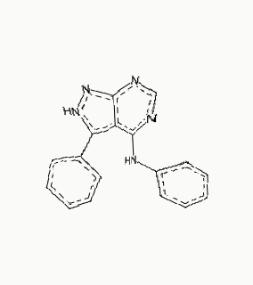 c1ccc(Nc2ncnc3n[nH]c(-c4ccccc4)c23)cc1